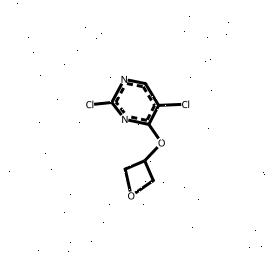 Clc1ncc(Cl)c(OC2COC2)n1